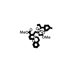 C=CC(c1ccc(C)cc1)S(=O)(=O)N(CC(=O)OC)Cc1c(C(=O)OC)ccc(=O)n1CCc1ccccc1